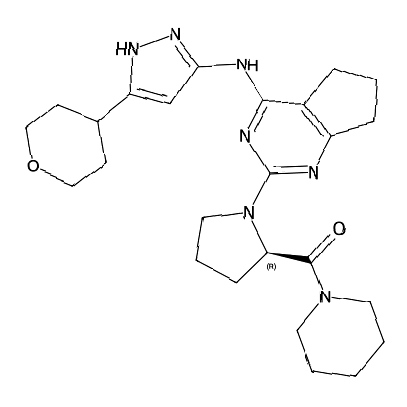 O=C([C@H]1CCCN1c1nc2c(c(Nc3cc(C4CCOCC4)[nH]n3)n1)CCC2)N1CCCCC1